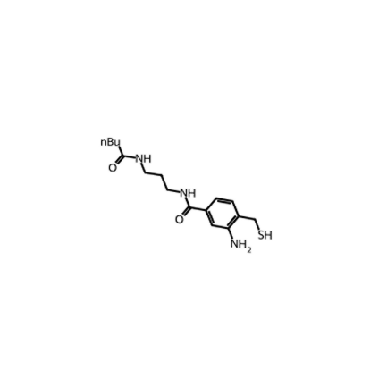 CCCCC(=O)NCCCNC(=O)c1ccc(CS)c(N)c1